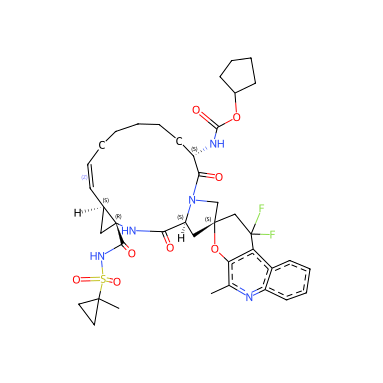 Cc1nc2ccccc2c2c1O[C@@]1(C[C@H]3C(=O)N[C@]4(C(=O)NS(=O)(=O)C5(C)CC5)C[C@H]4/C=C\CCCCC[C@H](NC(=O)OC4CCCC4)C(=O)N3C1)CC2(F)F